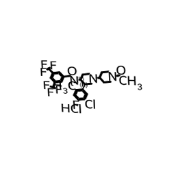 CC(=O)N1CCC(N2CC[C@@H](N(C)C(=O)c3cc(C(F)(F)F)cc(C(F)(F)F)c3)[C@H](c3ccc(F)c(Cl)c3)C2)CC1.Cl